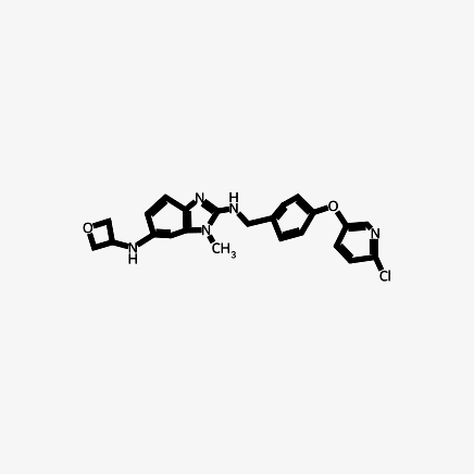 Cn1c(NCc2ccc(Oc3ccc(Cl)nc3)cc2)nc2ccc(NC3COC3)cc21